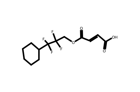 O=C(O)C=CC(=O)OCC(F)(F)C(F)(F)C1CCCCC1